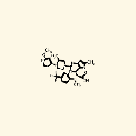 COc1cc(N2CCN(C3=Nc4cc(C)sc4C(CC(=O)O)N3c3cc(C(F)(F)F)ccc3OC)CC2C)ccn1